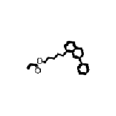 C=CC(=O)OCCCCCc1cccc2c1C=C(c1ccccc1)CC2